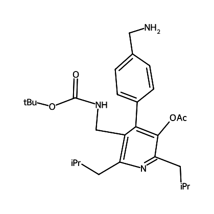 CC(=O)Oc1c(CC(C)C)nc(CC(C)C)c(CNC(=O)OC(C)(C)C)c1-c1ccc(CN)cc1